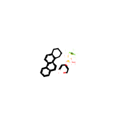 C1=CCOC=C1.O=S(=O)(O)C(F)(F)F.c1ccc2c(c1)ccc1c3c(ccc12)CCCC3